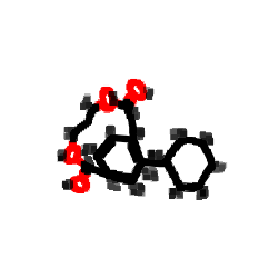 O=C1OCCOC(=O)c2ccc1cc2C1CCCCC1